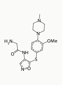 COc1cc(Sc2oncc2NC(=O)CN)ccc1N1CCN(C)CC1